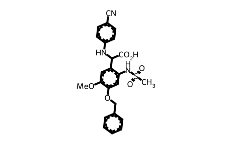 COc1cc(C(Nc2ccc(C#N)cc2)C(=O)O)c(NS(C)(=O)=O)cc1OCc1ccccc1